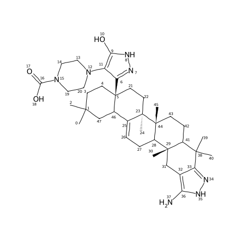 CC1(C)CC[C@]2(c3n[nH]c(O)c3N3CCN(C(=O)O)CC3)CC[C@]3(C)C(=CCC4[C@@]5(C)Cc6c(n[nH]c6N)C(C)(C)C5CC[C@]43C)C2C1